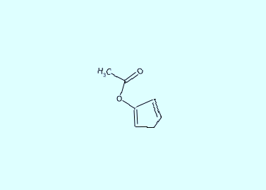 CC(=O)OC1=CCC=C1